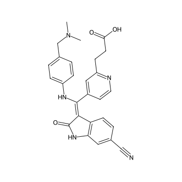 CN(C)Cc1ccc(N/C(=C2\C(=O)Nc3cc(C#N)ccc32)c2ccnc(CCC(=O)O)c2)cc1